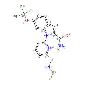 CSNCc1cccc(-n2c(C(N)=O)cc3ccc(OC(F)(F)F)cc32)n1